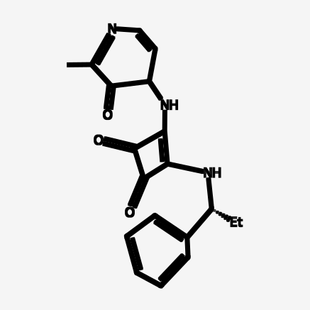 CC[C@@H](Nc1c(NC2C=CN=C(C)C2=O)c(=O)c1=O)c1ccccc1